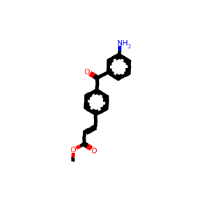 COC(=O)C=Cc1ccc(C(=O)c2cccc(N)c2)cc1